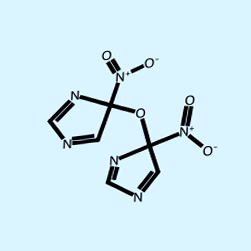 O=[N+]([O-])C1(OC2([N+](=O)[O-])C=NC=N2)C=NC=N1